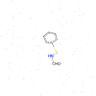 O=[C]NSc1ccccc1